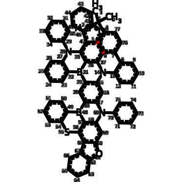 CC(C)(C)c1ccc(-c2ccccc2N2c3cc4c(cc3B3c5ccccc5N(c5ccccc5)c5c3c2cc2oc3ccccc3c52)B2c3ccccc3Sc3c2c(cc2oc5ccccc5c32)N4c2ccccc2)cc1